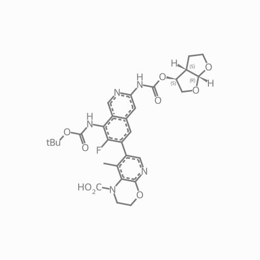 Cc1c(-c2cc3cc(NC(=O)O[C@@H]4CO[C@H]5OCC[C@H]54)ncc3c(NC(=O)OC(C)(C)C)c2F)cnc2c1N(C(=O)O)CCO2